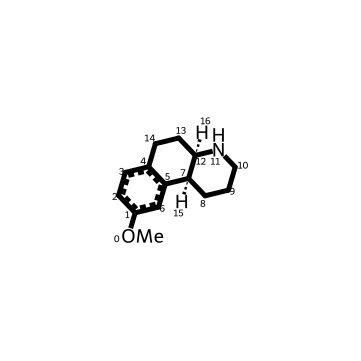 COc1ccc2c(c1)[C@@H]1CCCN[C@@H]1CC2